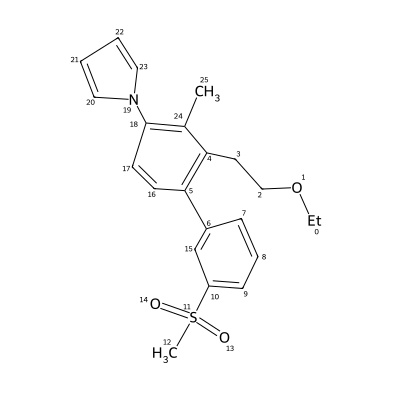 CCOCCc1c(-c2cccc(S(C)(=O)=O)c2)ccc(-n2cccc2)c1C